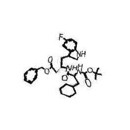 CC(C)(C)OC(=O)NC(CC1CCCCC1)C(=O)N[C@H](CC(=O)OCc1ccccc1)CC1CNc2ccc(F)cc21